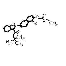 CCOC(=O)COc1ccc2cc(-c3oc4ccccc4c3C(=O)CC(C)(C)C)ccc2c1Br